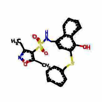 Cc1noc(C)c1S(=O)(=O)Nc1cc(Sc2ccccc2)c(O)c2ccccc12